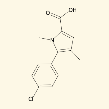 Cc1cc(C(=O)O)n(C)c1-c1ccc(Cl)cc1